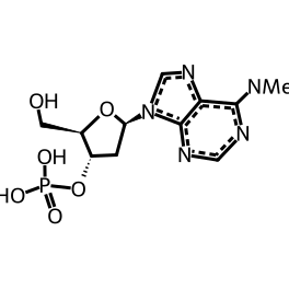 CNc1ncnc2c1ncn2[C@H]1C[C@H](OP(=O)(O)O)[C@@H](CO)O1